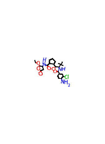 CCOC1OC(=O)CC1NC(=O)C1CCCC1C(=O)C(NC(=O)c1ccc(N)c(Cl)c1)C(C)(C)C